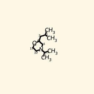 CC(C)CC1CN(C(C)C)CCO1